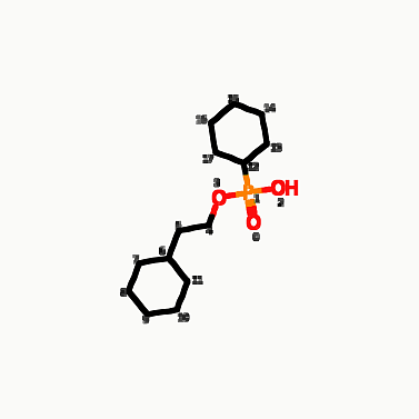 O=P(O)(OCCC1CCCCC1)C1CCCCC1